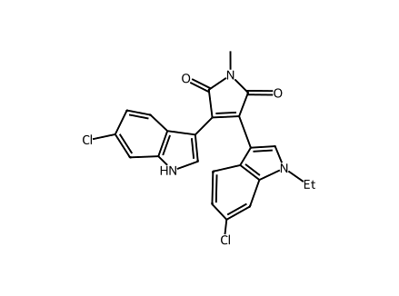 CCn1cc(C2=C(c3c[nH]c4cc(Cl)ccc34)C(=O)N(C)C2=O)c2ccc(Cl)cc21